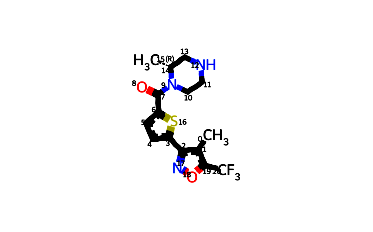 Cc1c(-c2ccc(C(=O)N3CCNC[C@H]3C)s2)noc1C(F)(F)F